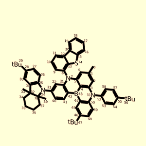 Cc1cc2c3c(c1)N(c1cccc4c1sc1ccccc14)c1cc(N4c5ccc(C(C)(C)C)cc5C5(C)CCCCC45C)ccc1B3c1cc(C(C)(C)C)ccc1N2c1ccc(C(C)(C)C)cc1